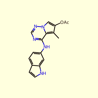 CC(=O)Oc1cn2ncnc(Nc3ccc4cc[nH]c4c3)c2c1C